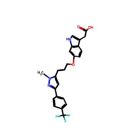 Cn1nc(-c2ccc(C(F)(F)F)cc2)cc1CCCOc1ccc2c(CC(=O)O)c[nH]c2c1